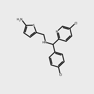 Nc1ccc(CNC(c2ccc(Cl)cc2)c2ccc(Cl)cn2)s1